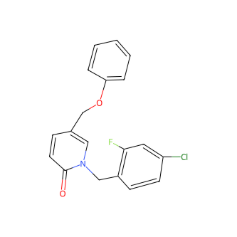 O=c1ccc(COc2ccccc2)cn1Cc1ccc(Cl)cc1F